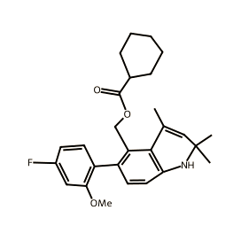 COc1cc(F)ccc1-c1ccc2c(c1COC(=O)C1CCCCC1)C(C)=CC(C)(C)N2